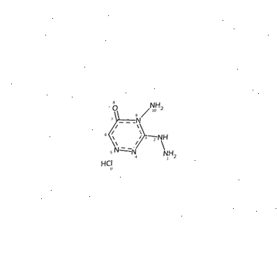 Cl.NNc1nncc(=O)n1N